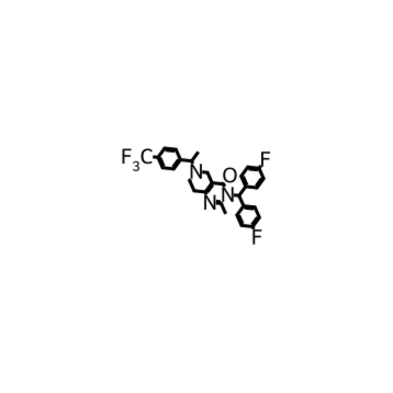 Cc1nc2c(c(=O)n1C(c1ccc(F)cc1)c1ccc(F)cc1)CN(C(C)c1ccc(C(F)(F)F)cc1)CC2